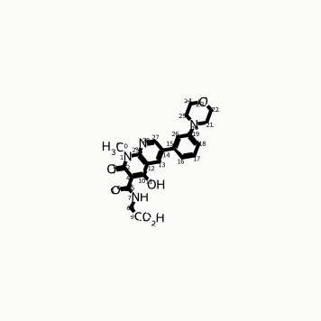 Cn1c(=O)c(C(=O)NCC(=O)O)c(O)c2cc(-c3cccc(N4CCOCC4)c3)cnc21